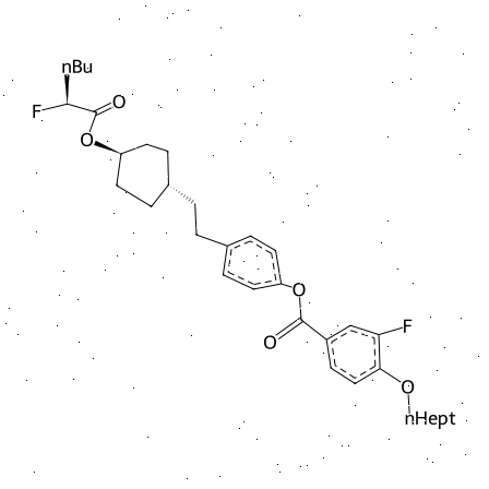 CCCCCCCOc1ccc(C(=O)Oc2ccc(CC[C@H]3CC[C@H](OC(=O)[C@@H](F)CCCC)CC3)cc2)cc1F